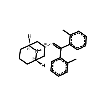 Cc1ccccc1C(=C[C@H]1C[C@H]2CCC[C@@H](C1)N2C)c1ccccc1C